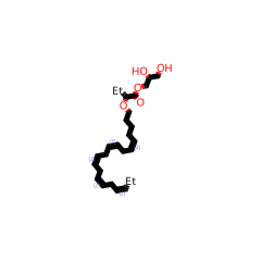 CC/C=C\C/C=C\C/C=C\C/C=C\C/C=C\CCCCOC(CC)C(=O)OCC(O)CO